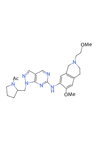 COCCN1CCc2cc(OC)c(Nc3ncc4cnn(CC5CCCN5C(C)=O)c4n3)cc2C1